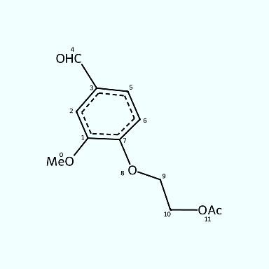 COc1cc(C=O)ccc1OCCOC(C)=O